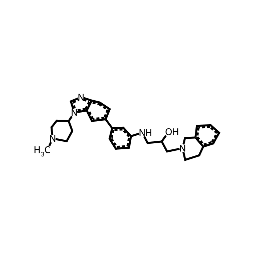 CN1CCC(n2cnc3ccc(-c4cccc(NCC(O)CN5CCc6ccccc6C5)c4)cc32)CC1